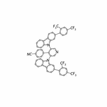 N#Cc1ccc(-c2c(-n3c4ccccc4c4ccc(-c5ccc(C(F)(F)F)cc5C(F)(F)F)cc43)cncc2-n2c3ccccc3c3ccc(-c4ccc(C(F)(F)F)cc4C(F)(F)F)cc32)cc1